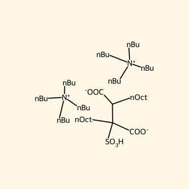 CCCCCCCCC(C(=O)[O-])C(CCCCCCCC)(C(=O)[O-])S(=O)(=O)O.CCCC[N+](CCCC)(CCCC)CCCC.CCCC[N+](CCCC)(CCCC)CCCC